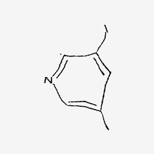 Cc1cn[c]c(I)c1